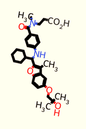 Cc1c(C(Nc2ccc(C(=O)N(C)CCC(=O)O)cc2)C2CCCCC2)oc2ccc(OCC(C)(C)O)cc12